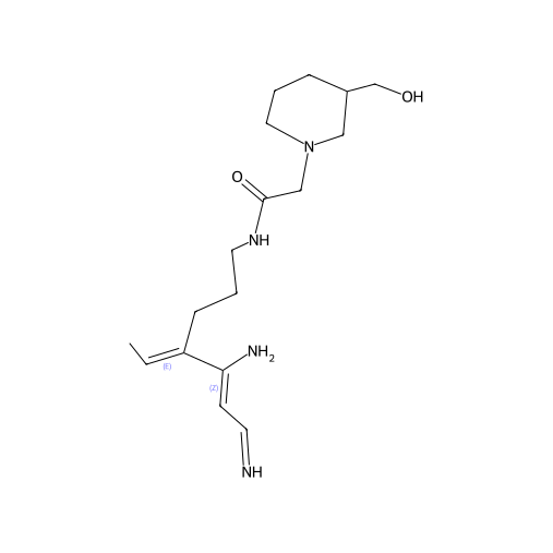 C/C=C(CCCNC(=O)CN1CCCC(CO)C1)/C(N)=C/C=N